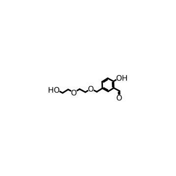 O=Cc1cc(COCCOCCO)ccc1O